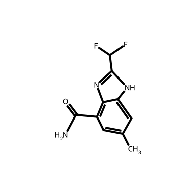 Cc1cc(C(N)=O)c2nc(C(F)F)[nH]c2c1